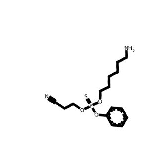 N#CCCOP(=S)(OCCCCCCN)Oc1ccccc1